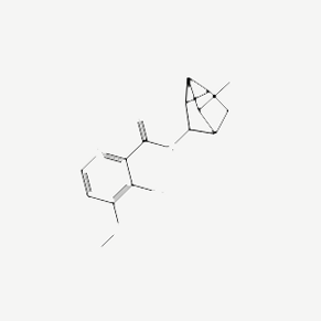 COc1ccnc(C(=O)NC2C3CC4C(C3Cl)C42)c1O